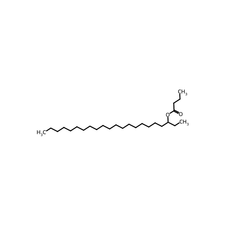 CCCCCCCCCCCCCCCCCCCC(CC)OC(=O)CCC